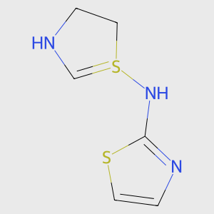 C1=S(Nc2nccs2)CCN1